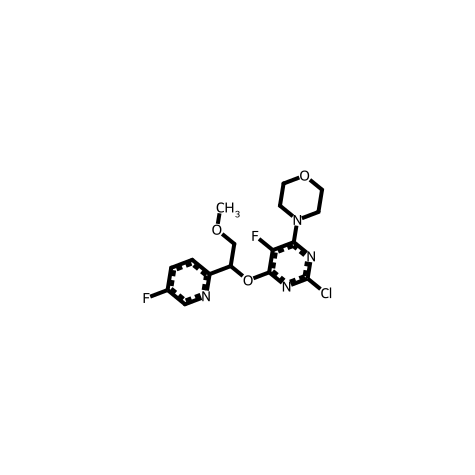 COCC(Oc1nc(Cl)nc(N2CCOCC2)c1F)c1ccc(F)cn1